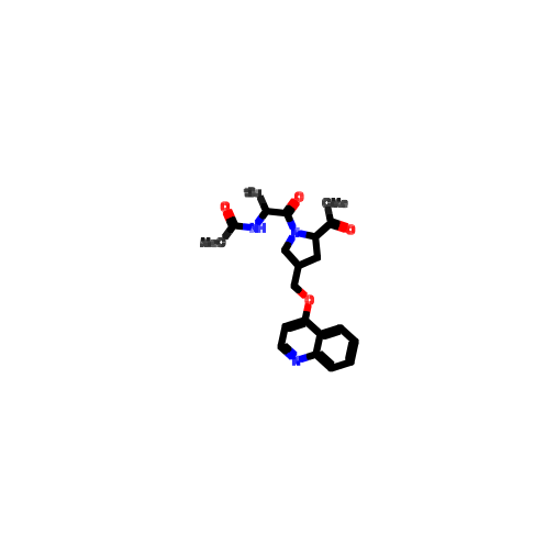 COC(=O)NC(C(=O)N1CC(COc2ccnc3ccccc23)CC1C(=O)OC)C(C)(C)C